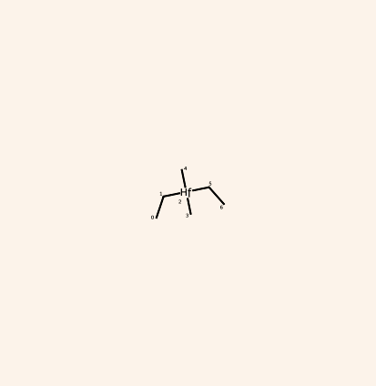 C[CH2][Hf]([CH3])([CH3])[CH2]C